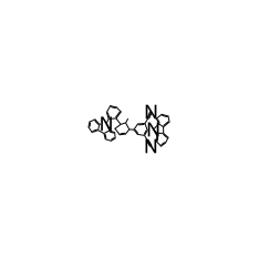 CC1C(c2cc(C#N)c(-n3c4ccccc4c4ccccc43)c(C#N)c2)C=CCC1c1ccccc1-n1c2ccccc2c2ccccc21